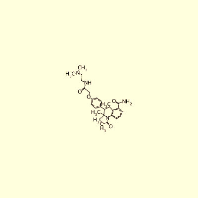 CC(=O)N1c2cc[c]c(C(N)=O)c2C(C)C(c2ccc(OCC(=O)NCCN(C)C)cc2)C1(C)C